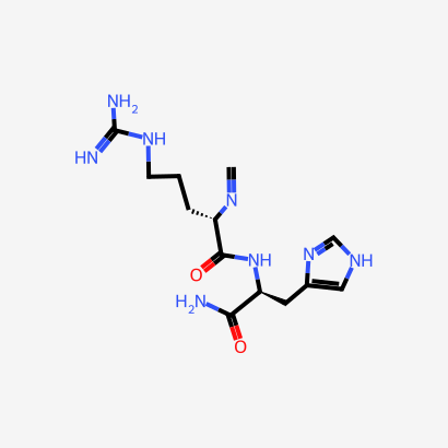 C=N[C@@H](CCCNC(=N)N)C(=O)N[C@@H](Cc1c[nH]cn1)C(N)=O